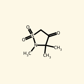 CN1C(C)(C)C(=O)CS1(=O)=O